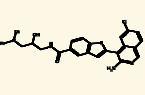 CCN(CC)CC(O)CNC(=O)c1ccc2sc(-c3c(N)ncc4ccc(Cl)cc34)cc2c1